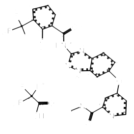 CNC(=O)c1cc(Oc2ccc3nc(NC(=O)c4cccc(C(F)(F)F)c4Cl)nnc3c2)ccn1.O=C(O)C(F)(F)F